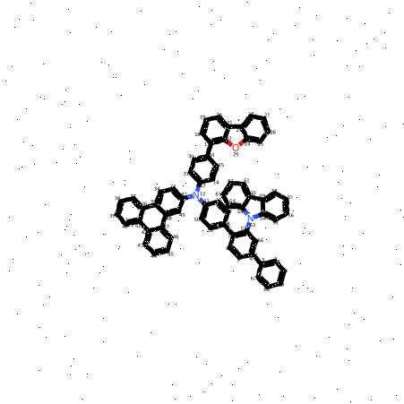 c1ccc(-c2ccc(-c3ccc(N(c4ccc(-c5cccc6c5oc5ccccc56)cc4)c4ccc5c6ccccc6c6ccccc6c5c4)cc3)c(-n3c4ccccc4c4ccccc43)c2)cc1